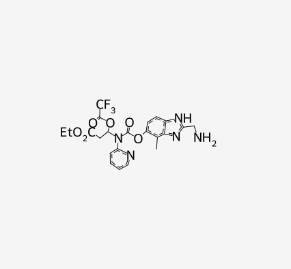 CCOC(=O)CC(OC(=O)C(F)(F)F)N(C(=O)Oc1ccc2[nH]c(CN)nc2c1C)c1ccccn1